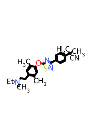 CCN(C)CCc1cc(C)c(Oc2nc(-c3ccc(C(C)(C)C#N)cc3)ns2)cc1C